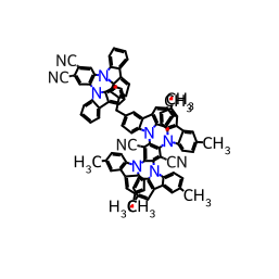 Cc1ccc2c(c1)c1cc(C)ccc1n2-c1c(C#N)c(-n2c3ccc(C)cc3c3cc(C)ccc32)c(-n2c3ccc(C)cc3c3cc(Cc4ccc5c6ccccc6n(-c6cc(C#N)c(C#N)cc6-n6c7ccccc7c7ccccc76)c5c4)ccc32)c(C#N)c1-n1c2ccc(C)cc2c2cc(C)ccc21